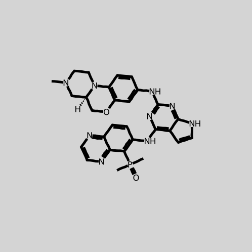 CN1CCN2c3ccc(Nc4nc(Nc5ccc6nccnc6c5P(C)(C)=O)c5cc[nH]c5n4)cc3OC[C@H]2C1